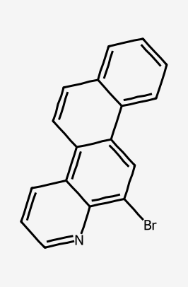 Brc1cc2c3ccccc3ccc2c2cccnc12